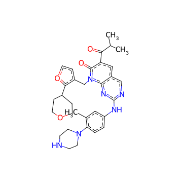 Cc1cc(Nc2ncc3cc(C(=O)C(C)C)c(=O)n(Cc4ccoc4C4CCOCC4)c3n2)ccc1N1CCNCC1